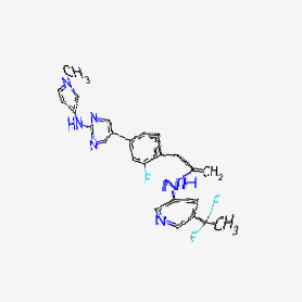 C=C(Cc1ccc(-c2cnc(Nc3ccn(C)c3)nc2)cc1F)Nc1cncc(C(C)(F)F)c1